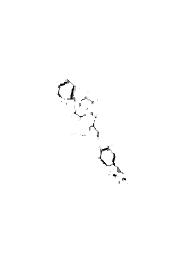 CS(=O)(=O)Nc1ccc(OC[C@@H](O)CN2CCN(c3ccccn3)CC2)cc1